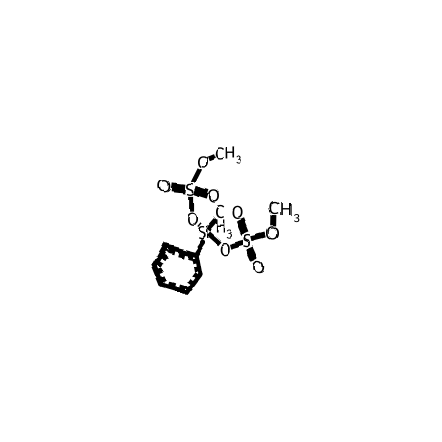 COS(=O)(=O)O[Si](C)(OS(=O)(=O)OC)c1ccccc1